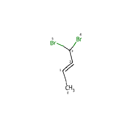 C/C=C/[C](Br)Br